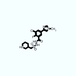 Cn1cnc(-c2cc(Cl)c(F)c(C(=O)NNS(=O)(=O)CC3CCCNC3)c2)c1